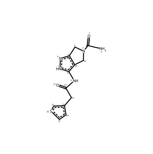 NC(=O)N1Cc2n[nH]c(NC(=O)Cc3ccsc3)c2C1